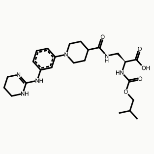 CC(C)COC(=O)N[C@@H](CNC(=O)C1CCN(c2cccc(NC3=NCCCN3)c2)CC1)C(=O)O